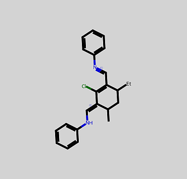 CCC1CC(C)/C(=C\Nc2ccccc2)C(Cl)=C1/C=N/c1ccccc1